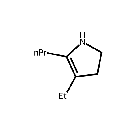 CCCC1=C(CC)CCN1